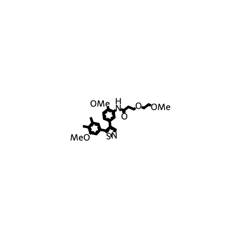 COCCOCCC(=O)Nc1cc(-c2cnsc2-c2cc(C)c(C)c(OC)c2)ccc1OC